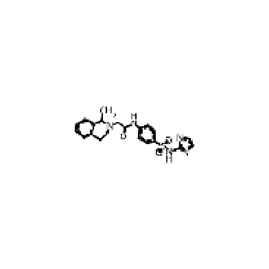 CC1c2ccccc2CCN1CC(=O)Nc1ccc(S(=O)(=O)Nc2nccs2)cc1